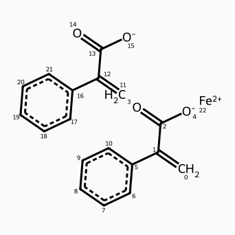 C=C(C(=O)[O-])c1ccccc1.C=C(C(=O)[O-])c1ccccc1.[Fe+2]